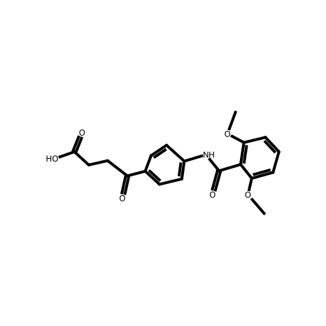 COc1cccc(OC)c1C(=O)Nc1ccc(C(=O)CCC(=O)O)cc1